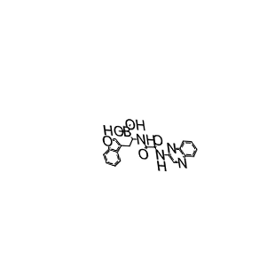 O=C(Nc1cnc2ccccc2n1)C(=O)NC(Cc1coc2ccccc12)B(O)O